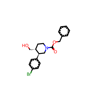 O=C(OCc1ccccc1)N1CC[C@@H](CO)[C@H](c2ccc(Br)cc2)C1